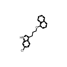 Clc1ccc2c(CCCOc3cccc4ccccc34)c[nH]c2c1